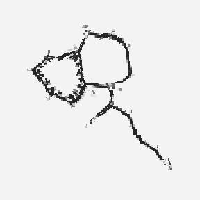 O=C(CCCCl)N1CCCOc2ccccc21